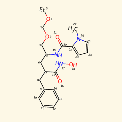 CCOCOCC(CC(Cc1ccccc1)C(=O)NO)NC(=O)c1cccn1C